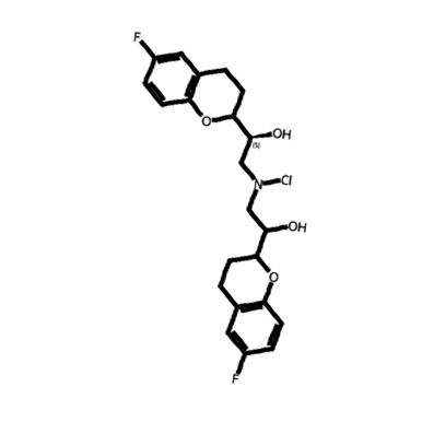 OC(CN(Cl)C[C@H](O)C1CCc2cc(F)ccc2O1)C1CCc2cc(F)ccc2O1